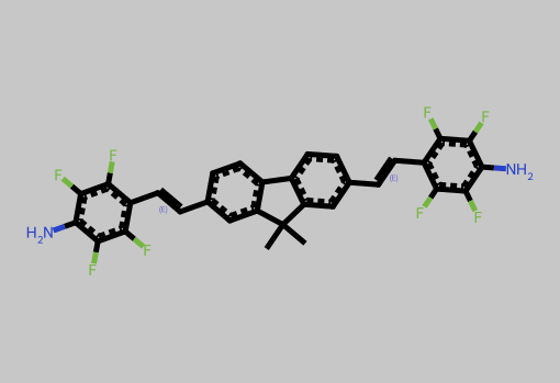 CC1(C)c2cc(/C=C/c3c(F)c(F)c(N)c(F)c3F)ccc2-c2ccc(/C=C/c3c(F)c(F)c(N)c(F)c3F)cc21